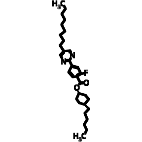 CCCCCCCCCc1cnc(-c2ccc(C(=O)O[C@H]3CC[C@H](CCCCCC)CC3)c(F)c2)nc1